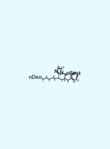 CCCCCCCCCCCCCCCCCC(Cc1ccccc1)C(CCCCC)n1ccnc1